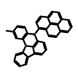 Cc1ccc2c(c1)B1c3ccccc3-c3cccc(c31)N2c1ccc2ccc3cccc4ccc1c2c34